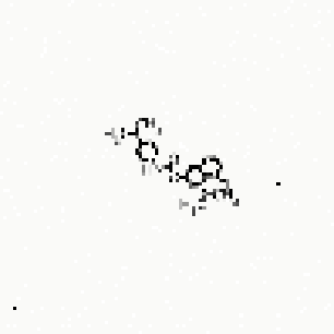 CC(C)c1ccc(NC(=O)Oc2cc(C(C)C)c3c(Cl)cccc3c2)cc1